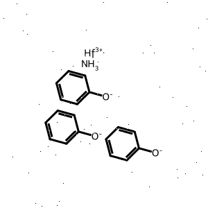 N.[Hf+3].[O-]c1ccccc1.[O-]c1ccccc1.[O-]c1ccccc1